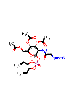 C=CCOP(=O)(OCC=C)O[C@H]1OC(COC(C)=O)[C@H](OC(C)=O)[C@H](OC(C)=O)C1NC(=O)CN=[N+]=[N-]